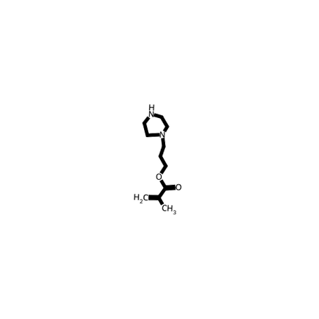 C=C(C)C(=O)OCCCN1CCNCC1